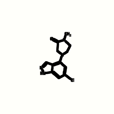 CN1CCN(c2cc(Cl)cc3[nH]ncc23)CC1=O